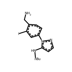 CCCCNc1ccnn1-c1ccc(CN)c(I)c1